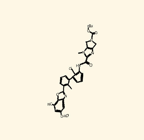 Cc1c(-c2nc3cc(C=O)cc(C#N)c3o2)cccc1-c1cccc(NC(=O)c2nc3c(n2C)CN(C(=O)OC(C)(C)C)C3)c1Cl